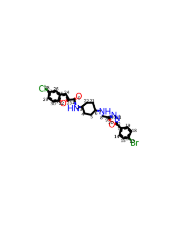 O=C(NC1CCC(NCc2nnc(-c3ccc(Br)cc3)o2)CC1)c1cc2cc(Cl)ccc2o1